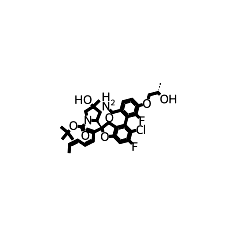 C=C(/C=C\C=C/C)[C@]1(C2CC(C)(O)CN2C(=O)OC(C)(C)C)Cc2c(cc(F)c(Cl)c2-c2c(C(N)=O)ccc(OC[C@H](C)O)c2F)O1